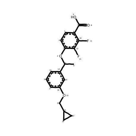 CC(Oc1ccc(C(=O)O)c(F)c1F)c1cccc(OCC2CC2)c1